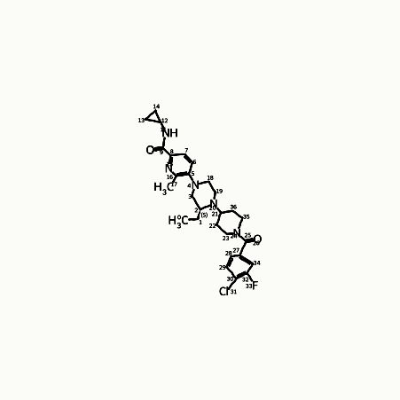 CC[C@H]1CN(c2ccc(C(=O)NC3CC3)nc2C)CCN1C1CCN(C(=O)c2ccc(Cl)c(F)c2)CC1